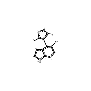 Cc1noc(C)c1-c1c(Cl)cnc2[nH]ccc12